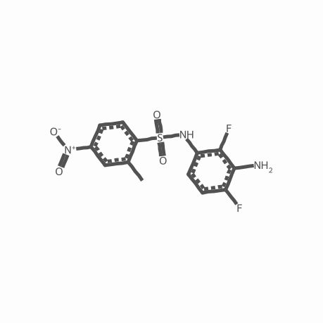 Cc1cc([N+](=O)[O-])ccc1S(=O)(=O)Nc1ccc(F)c(N)c1F